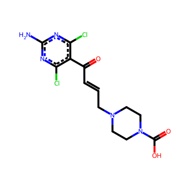 Nc1nc(Cl)c(C(=O)/C=C/CN2CCN(C(=O)O)CC2)c(Cl)n1